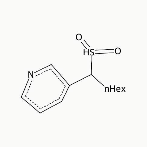 CCCCCCC(c1cccnc1)[SH](=O)=O